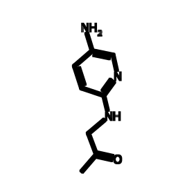 CC(=O)CNc1ccc(N)cn1